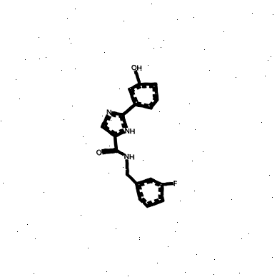 O=C(NCc1cccc(F)c1)c1cnc(-c2cccc(O)c2)[nH]1